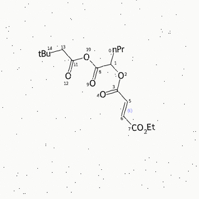 CCCC(OC(=O)/C=C/C(=O)OCC)C(=O)OC(=O)CC(C)(C)C